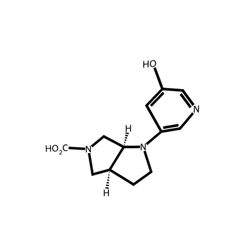 O=C(O)N1C[C@@H]2CCN(c3cncc(O)c3)[C@@H]2C1